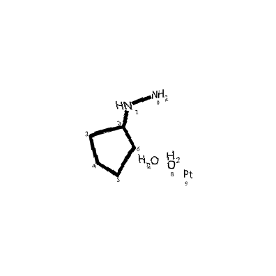 NNC1CCCC1.O.O.[Pt]